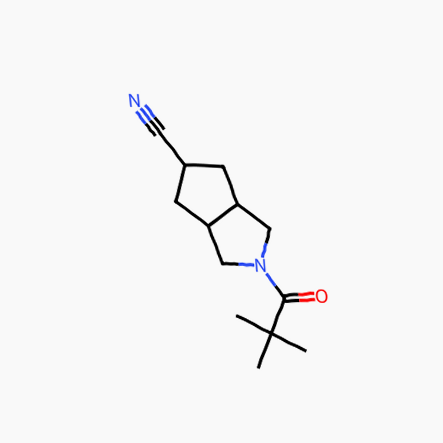 CC(C)(C)C(=O)N1CC2CC(C#N)CC2C1